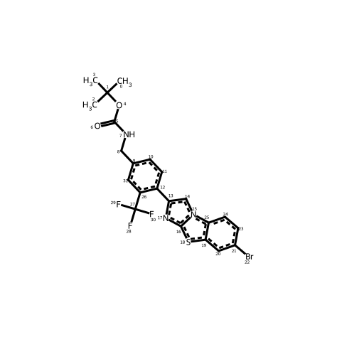 CC(C)(C)OC(=O)NCc1ccc(-c2cn3c(n2)sc2cc(Br)ccc23)c(C(F)(F)F)c1